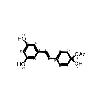 CC(=O)OC1(O)C=CC(C=Cc2cc(O)cc(O)c2)=CC1